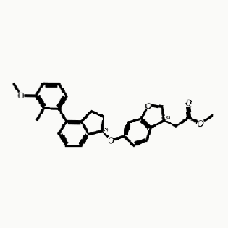 COC(=O)C[C@@H]1COc2cc(O[C@@H]3CCc4c(-c5cccc(OC)c5C)cccc43)ccc21